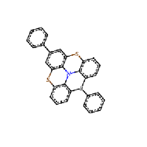 c1ccc(B2c3cccc4c3N3c5c(cc(-c6ccccc6)cc5Sc5cccc2c53)S4)cc1